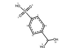 O=S(=O)(O)c1ccc(C(O)O)cc1